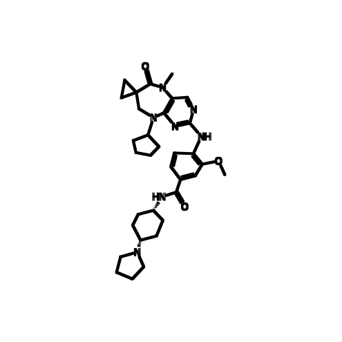 COc1cc(C(=O)N[C@H]2CC[C@@H](N3CCCC3)CC2)ccc1Nc1ncc2c(n1)N(C1CCCC1)CC1(CC1)C(=O)N2C